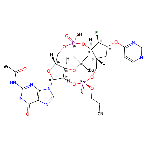 CC(C)C(=O)Nc1nc2c(ncn2[C@@H]2O[C@@H]3CO[P@](=O)(S)O[C@@H]4[C@@H](CO[P@@](=S)(OCCC#N)O[C@@H]2[C@@H]3O[Si](C)(C)C(C)(C)C)C[C@@H](Oc2ccncn2)[C@@H]4F)c(=O)[nH]1